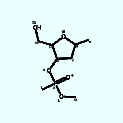 COP(C)(=O)OC1CC(C)OC1CO